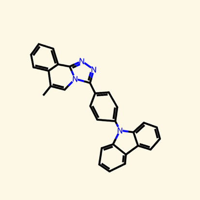 Cc1cn2c(-c3ccc(-n4c5ccccc5c5ccccc54)cc3)nnc2c2ccccc12